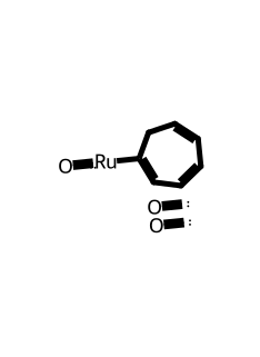 [C]=O.[C]=O.[C]=O.[Ru][C]1=CC=CC=CC1